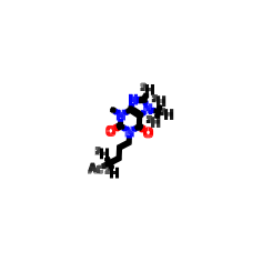 [2H]c1nc2c(c(=O)n(CCCC([2H])([2H])C(C)=O)c(=O)n2C)n1C([2H])([2H])[2H]